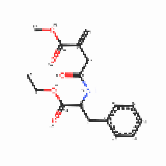 C=C(CC(=O)NC(Cc1ccccc1)C(=O)OCC)C(=O)OC